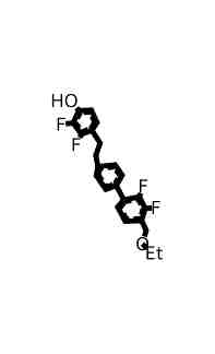 CCOCc1ccc(-c2ccc(CCc3ccc(O)c(F)c3F)cc2)c(F)c1F